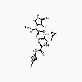 O=C(N[C@@H](CC1CC1)C(=O)N[C@@H](CC1CCNC1=O)C(=O)COC(F)(F)F)C(=O)NC12CC(F)(C1)C2